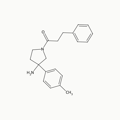 Cc1ccc(C2(N)CCN(C(=O)CCc3ccccc3)C2)cc1